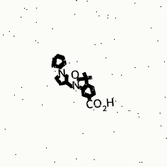 CC1(C)C(=O)N(CC2CCN(c3ccccc3)C2)c2cc(C(=O)O)ccc21